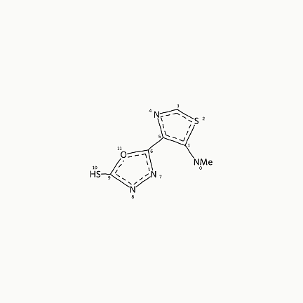 CNc1scnc1-c1nnc(S)o1